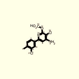 Cc1ccc(-c2cc(N)c(Cl)c(OC(=O)O)n2)cc1Cl